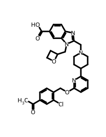 CC(=O)c1ccc(COc2cccc(C3CCN(Cc4nc5ccc(C(=O)O)cc5n4CC4CCO4)CC3)n2)c(Cl)c1